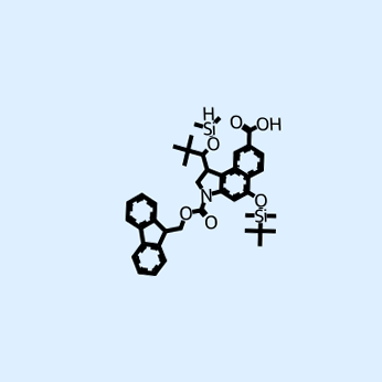 C[SiH](C)OC(C1CN(C(=O)OCC2c3ccccc3-c3ccccc32)c2cc(O[Si](C)(C)C(C)(C)C)c3ccc(C(=O)O)cc3c21)C(C)(C)C